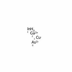 [As-3].[Cu].[Ga+3].[InH3]